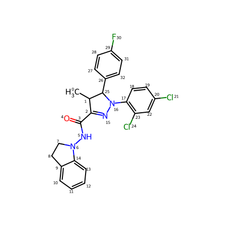 CC1C(C(=O)NN2CCc3ccccc32)=NN(c2ccc(Cl)cc2Cl)C1c1ccc(F)cc1